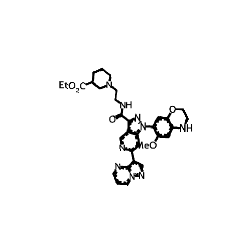 CCOC(=O)C1CCCN(CCNC(=O)c2nn(-c3cc4c(cc3OC)NCCO4)c3cc(-c4cnn5cccnc45)ncc23)C1